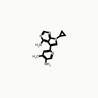 Cc1cc(-c2cn(C3CC3)c3ncnc(N)c23)ncc1N